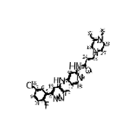 Cc1nnc(-c2cc(Cl)ccc2F)cc1Nc1ccnc(NC(=O)C=CN2CCN(C)C(C)C2)c1